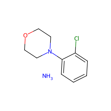 Clc1ccccc1N1CCOCC1.N